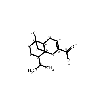 CC(C)C1CCC2(C)CC3C(C(=O)O)=CCC2C31